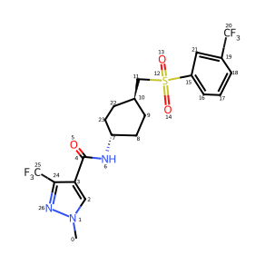 Cn1cc(C(=O)N[C@H]2CC[C@H](CS(=O)(=O)c3cccc(C(F)(F)F)c3)CC2)c(C(F)(F)F)n1